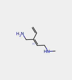 C=C/C(=C\CNC)CN